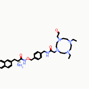 CCN1CCN(CC)CCN(CC(=O)NCc2ccc(CONC(=O)[C@H](N)Cc3ccc4ccccc4c3)cc2)CCN(CC=O)CC1